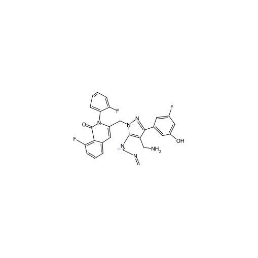 C=N/C=N\c1c(CN)c(-c2cc(O)cc(F)c2)nn1Cc1cc2cccc(F)c2c(=O)n1-c1ccccc1F